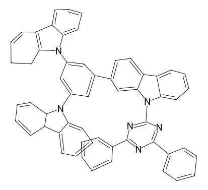 C1=CC2c3ccccc3N(c3cc(-c4ccc5c6ccccc6n(-c6nc(-c7ccccc7)nc(-c7ccccc7)n6)c5c4)cc(-n4c5c(c6ccccc64)C=CCC5)c3)C2C=C1